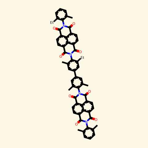 CCc1cccc(C)c1N1C(=O)c2ccc3c4c(ccc(c24)C1=O)C(=O)N(c1c(C)cc(-c2cc(C)c(N4C(=O)c5ccc6c7c(ccc(c57)C4=O)C(=O)N(c4c(C)cccc4C)C6=O)c(C)c2)cc1CC)C3=O